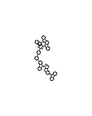 c1ccc(-c2nc(-c3ccc(-c4cccc(-c5ccc6c(c5)c5ccccc5n6-c5nccc6c5sc5ccc(-n7c8ccccc8c8ccccc87)cc56)c4)cc3)nc(-n3c4ccccc4c4ccc5c6ccccc6n(-c6ccccc6)c5c43)n2)cc1